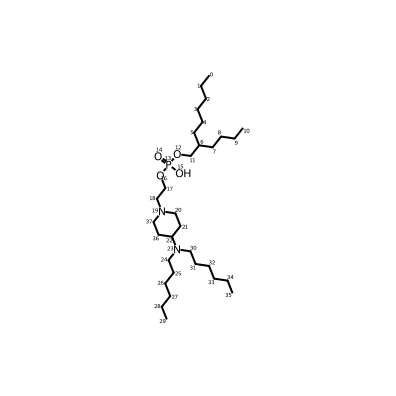 CCCCCCC(CCCC)COP(=O)(O)OCCN1CCC(N(CCCCCC)CCCCCC)CC1